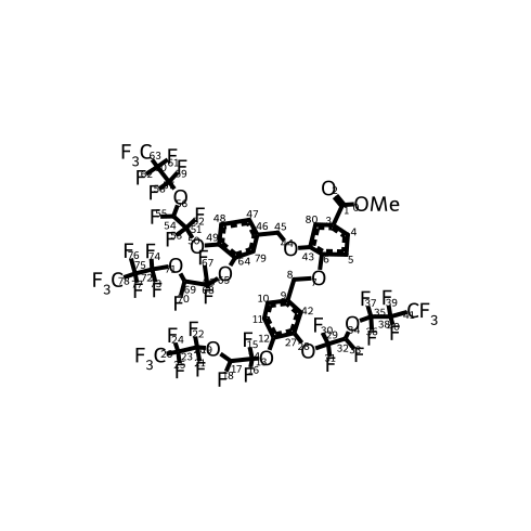 COC(=O)c1ccc(OCc2ccc(OC(F)(F)C(F)OC(F)(F)C(F)(F)C(F)(F)F)c(OC(F)(F)C(F)OC(F)(F)C(F)(F)C(F)(F)F)c2)c(OCc2ccc(OC(F)(F)C(F)OC(F)(F)C(F)(F)C(F)(F)F)c(OC(F)(F)C(F)OC(F)(F)C(F)(F)C(F)(F)F)c2)c1